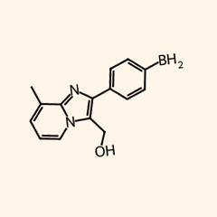 Bc1ccc(-c2nc3c(C)cccn3c2CO)cc1